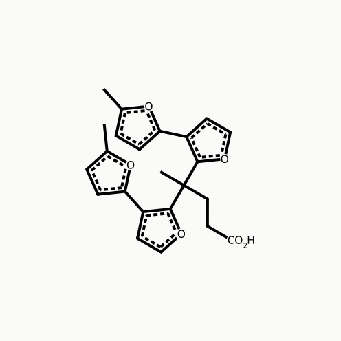 Cc1ccc(-c2ccoc2C(C)(CCC(=O)O)c2occc2-c2ccc(C)o2)o1